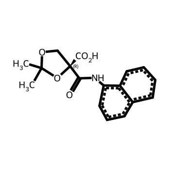 CC1(C)OC[C@](C(=O)O)(C(=O)Nc2cccc3ccccc23)O1